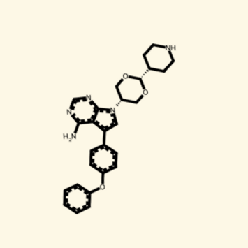 Nc1ncnc2c1c(-c1ccc(Oc3ccccc3)cc1)cn2[C@H]1CO[C@@H](C2CCNCC2)OC1